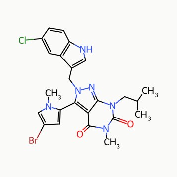 CC(C)Cn1c(=O)n(C)c(=O)c2c(-c3cc(Br)cn3C)n(Cc3c[nH]c4ccc(Cl)cc34)nc21